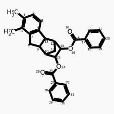 Cc1ccc2c(c1C)CC1C3CC(C(OC(=O)c4ccccc4)C3OC(=O)c3ccccc3)C21